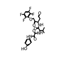 CC(C)[C@H](NC(=O)C(=O)Nc1ccc(O)cc1)C(=O)NC(CC=O)C(=O)COc1c(F)c(F)cc(F)c1F